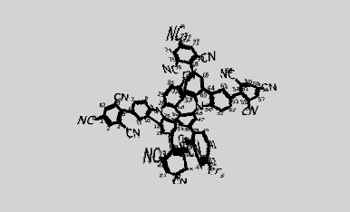 N#Cc1cc(C#N)c(-c2ccc3c(c2)c2cc(-c4c(C#N)cc(C#N)cc4C#N)ccc2n3-c2ccc(C#N)cc2-c2ccc(-c3ccc(C(F)(F)F)cc3C(F)(F)F)cc2-n2c3ccc(-c4c(C#N)cc(C#N)cc4C#N)cc3c3cc(-c4c(C#N)cc(C#N)cc4C#N)ccc32)c(C#N)c1